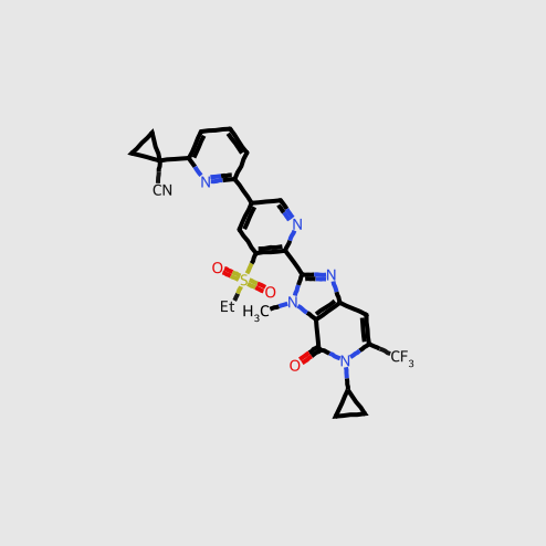 CCS(=O)(=O)c1cc(-c2cccc(C3(C#N)CC3)n2)cnc1-c1nc2cc(C(F)(F)F)n(C3CC3)c(=O)c2n1C